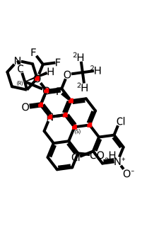 [2H]C([2H])([2H])Oc1cc([C@H](Cc2c(Cl)c[n+]([O-])cc2Cl)c2c(CN(C(=O)O[C@H]3CN4CCC3CC4)c3ccccc3F)cccc2C(=O)O)ccc1OC(F)F